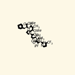 CC[C@H](C)[C@@H]([C@@H](CC(=O)N1CCC[C@H]1[C@H](OC)[C@@H](C)C(=O)N[C@@H](Cc1ccccc1)C(=O)OC)OC)N(C)C(=O)[C@@H](Nc1nccc(C(F)(F)F)n1)C(C)C